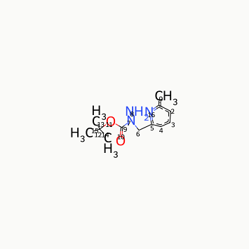 Cc1cccc(CN(N)C(=O)OC(C)(C)C)n1